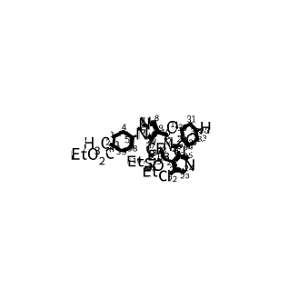 CCOC(=O)[C@]1(C)CC[C@@H](n2ncc(C(=O)N(CC(O[Si](CC)(CC)CC)c3c(Cl)cncc3Cl)C[C@]34CC[C@H](CC3)O4)c2C(F)(F)F)CC1